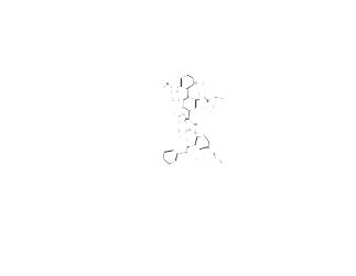 CCCC(=O)Nc1cc2c(C(=O)Nc3ccc(C#N)cc3C(=O)C(O)c3ccccc3)noc2cc1-c1ccccc1NC(C)=O